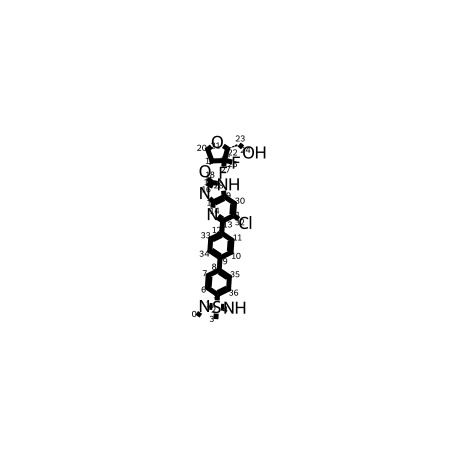 CN=S(C)(=N)c1ccc(-c2ccc(-c3nc4nc(O[C@@H]5CO[C@H](CO)C5(F)F)[nH]c4cc3Cl)cc2)cc1